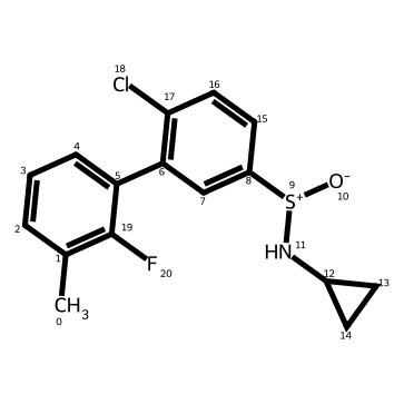 Cc1cccc(-c2cc([S+]([O-])NC3CC3)ccc2Cl)c1F